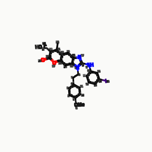 COc1ccc(CCn2c(Nc3cccc(I)c3)nc3cc4c(C)c(C(=O)O)c(=O)oc4cc32)cc1